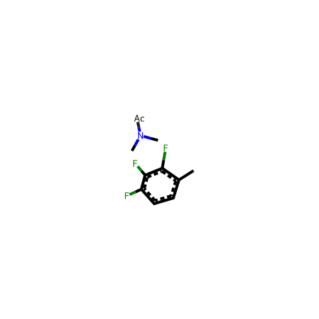 CC(=O)N(C)C.Cc1ccc(F)c(F)c1F